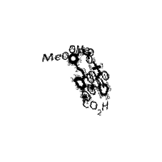 C=CC(=O)OCC(C)(C)C(=O)C(=O)N1CCCC[C@H]1C(=O)OC(CCc1cc(F)c(OC)c(OC)c1)c1cccc(OCC(=O)O)c1